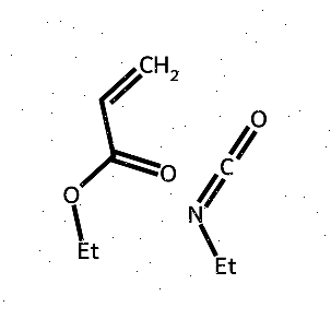 C=CC(=O)OCC.CCN=C=O